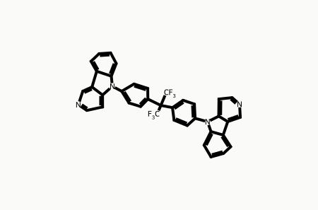 FC(F)(F)C(c1ccc(-n2c3ccccc3c3cnccc32)cc1)(c1ccc(-n2c3ccccc3c3cnccc32)cc1)C(F)(F)F